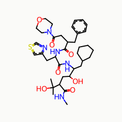 CNC(=O)C(CC(O)C(CC1CCCCC1)NC(=O)C(Cc1cscn1)NC(=O)C(CC(=O)N1CCOCC1)Cc1ccccc1)C(C)(C)O